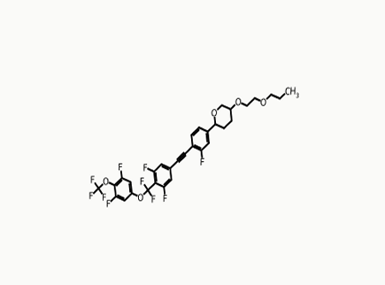 CCCOCCOC1CCC(c2ccc(C#Cc3cc(F)c(C(F)(F)Oc4cc(F)c(OC(F)(F)F)c(F)c4)c(F)c3)c(F)c2)OC1